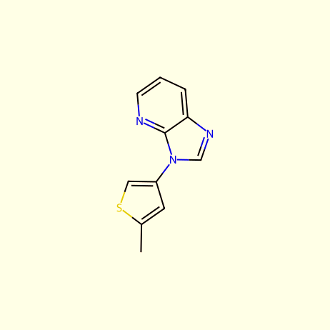 Cc1cc(-n2cnc3cccnc32)cs1